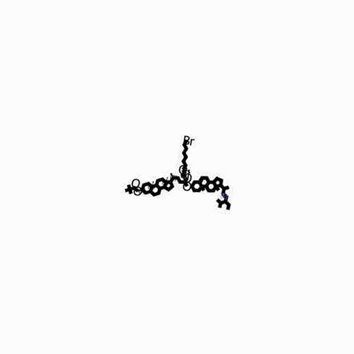 CCC(/C=C/C(C)C1CCC2C3CC=C4CC(OC(CC[C@H](C)C5CCC6C7CCC8C[C@@H](OC(=O)C(C)(C)C)CC[C@@]8(C)C7CC[C@]65C)O[Si](C)(C)OCCCCCCBr)CCC4(C)C3CCC12C)C(C)C